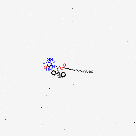 CCCCCCCCCCCCCCCCCCCC(=O)OCC(CC[Si](c1ccccc1)(c1ccccc1)C(C)(C)C)CN1CNc2c1nc(N)[nH]c2=O